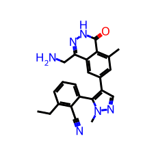 CCc1cccc(-c2c(-c3cc(C)c4c(=O)[nH]nc(CN)c4c3)cnn2C)c1C#N